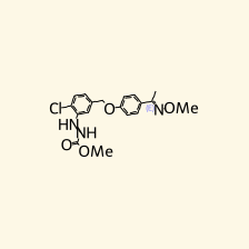 CO/N=C(\C)c1ccc(OCc2ccc(Cl)c(NNC(=O)OC)c2)cc1